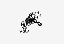 COC(=O)CC(CNC(=O)C1CCN(C(=O)O)CC1)NC(=O)OCc1ccccc1